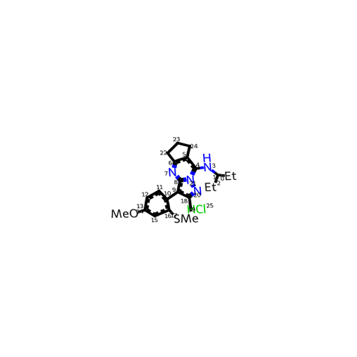 CCC(CC)Nc1c2c(nc3c(-c4ccc(OC)cc4SC)c(C)nn13)CCC2.Cl